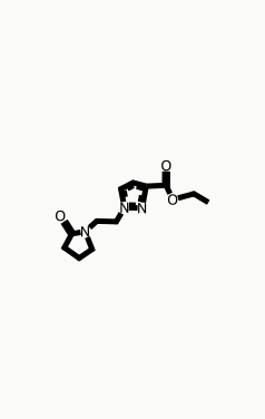 CCOC(=O)c1ccn(CCN2CCCC2=O)n1